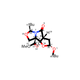 CCCCO[C@H]1C[C@H]2C(=O)N3[C@H](C(C)(C)C)OC[C@@]3(C(=O)OC)[C@@]2(C)O1